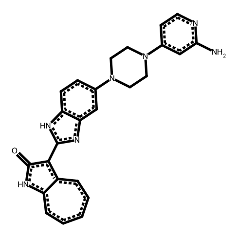 Nc1cc(N2CCN(c3ccc4[nH]c(-c5c6cccccc-6[nH]c5=O)nc4c3)CC2)ccn1